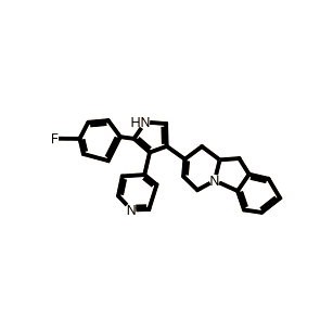 Fc1ccc(-c2[nH]cc(C3=CCN4c5ccccc5CC4C3)c2-c2ccncc2)cc1